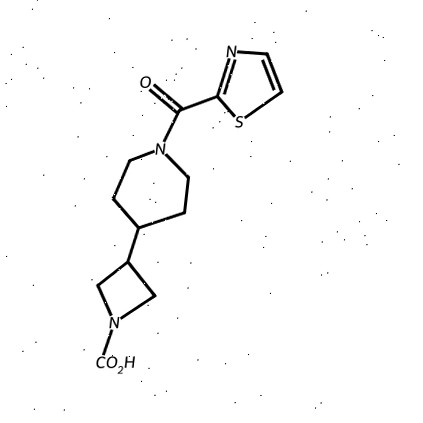 O=C(O)N1CC(C2CCN(C(=O)c3nccs3)CC2)C1